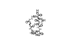 NCCCC(=O)SSC(=O)CCCN.N[C@@H](CCC(=O)N[C@@H](CS)C(=O)NCC(=O)O)C(=O)O